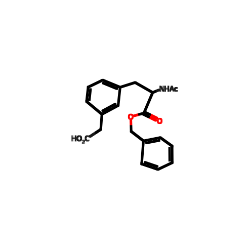 CC(=O)NC(Cc1cccc(CC(=O)O)c1)C(=O)OCc1ccccc1